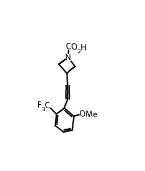 COc1cccc(C(F)(F)F)c1C#CC1CN(C(=O)O)C1